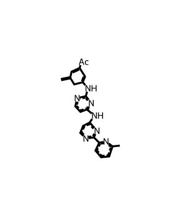 C=C1C=C(C(C)=O)C=C(Nc2nccc(Nc3ccnc(-c4cccc(C)n4)n3)n2)C1